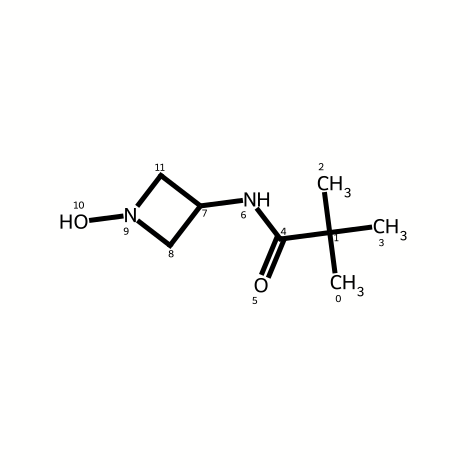 CC(C)(C)C(=O)NC1CN(O)C1